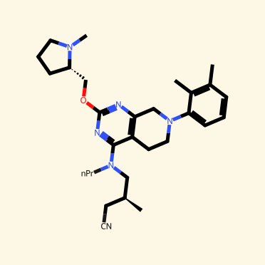 CCCN(C[C@@H](C)CC#N)c1nc(OC[C@@H]2CCCN2C)nc2c1CCN(c1cccc(C)c1C)C2